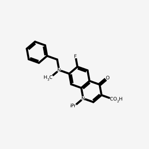 CC(C)n1cc(C(=O)O)c(=O)c2cc(F)c(N(C)Cc3ccccc3)cc21